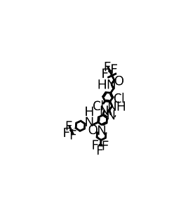 Cn1c(Nc2c(Cl)ccc(CNC(=O)C(C)(C)C(F)(F)F)c2Cl)nc2cc(C(=O)N[C@H]3CC[C@@H](C(F)(F)F)CC3)c(N3CCC(C(F)(F)F)CC3)cc21